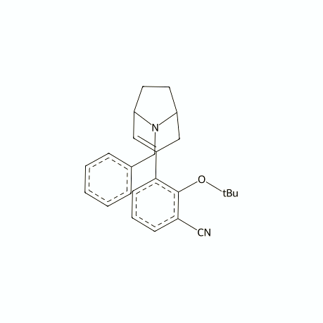 CC(C)(C)Oc1c(C#N)cccc1C1=CC2CCC(C1)N2Cc1ccccc1